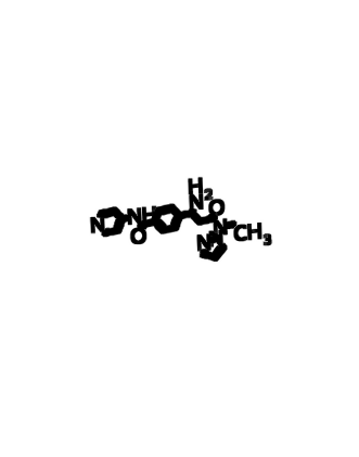 CCN(C(=O)CC(N)c1ccc(C(=O)Nc2ccncc2)cc1)n1cccn1